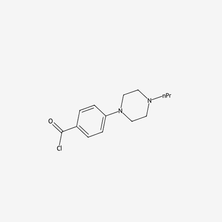 CCCN1CCN(c2ccc(C(=O)Cl)cc2)CC1